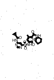 Cc1cc(NS(=O)(=O)c2cc(NC(=O)C3CC3)ncn2)c(=O)n2c1C(=O)NC21CCCCC1